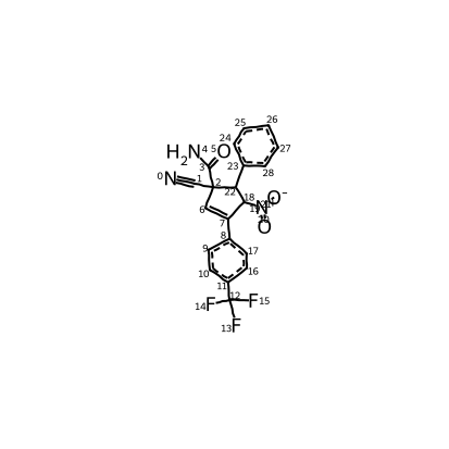 N#CC1(C(N)=O)C=C(c2ccc(C(F)(F)F)cc2)C([N+](=O)[O-])C1c1ccccc1